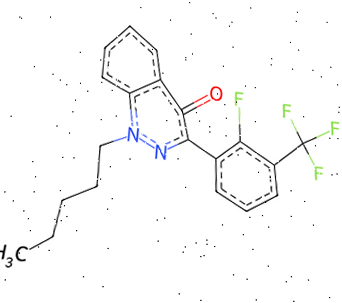 CCCCCn1nc(-c2cccc(C(F)(F)F)c2F)c(=O)c2ccccc21